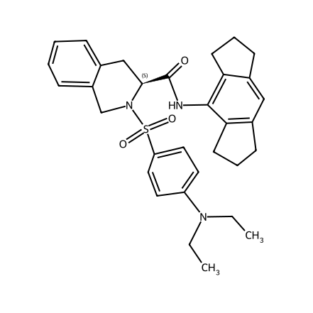 CCN(CC)c1ccc(S(=O)(=O)N2Cc3ccccc3C[C@H]2C(=O)Nc2c3c(cc4c2CCC4)CCC3)cc1